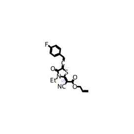 C=CCOC(=O)/C(C#N)=c1\sc(=C=Cc2ccc(F)cc2)c(=O)n1CC